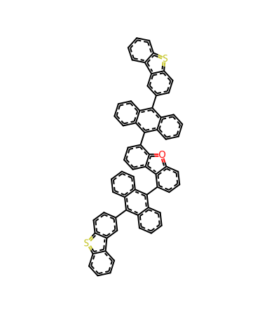 c1cc(-c2c3ccccc3c(-c3ccc4sc5ccccc5c4c3)c3ccccc23)c2c(c1)oc1c(-c3c4ccccc4c(-c4ccc5sc6ccccc6c5c4)c4ccccc34)cccc12